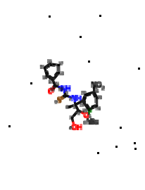 CCCCOC(CO)[C@](C)(NC(=S)NC(=O)c1ccccc1)c1cc([N+](=O)[O-])ccc1F